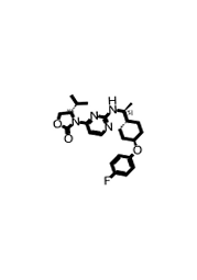 CC(C)[C@H]1COC(=O)N1c1ccnc(N[C@@H](C)[C@H]2CC[C@H](Oc3ccc(F)cc3)CC2)n1